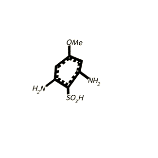 COc1cc(N)c(S(=O)(=O)O)c(N)c1